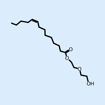 CCCC/C=C\CCCCCCCC(=O)OCCOCCO